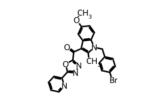 COc1ccc2c(c1)c(C(=O)c1nnc(-c3ccccn3)o1)c(C)n2Cc1ccc(Br)cc1